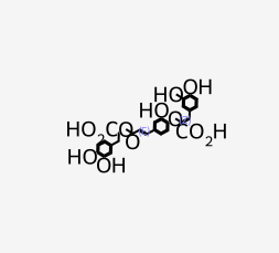 O=C(/C=C/c1ccc(O/C(=C\c2ccc(O)c(O)c2)C(=O)O)c(O)c1)OC(Cc1ccc(O)c(O)c1)C(=O)O